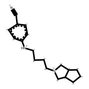 N#Cc1ccc(NCCCCN2CC3CCCC3C2)cc1